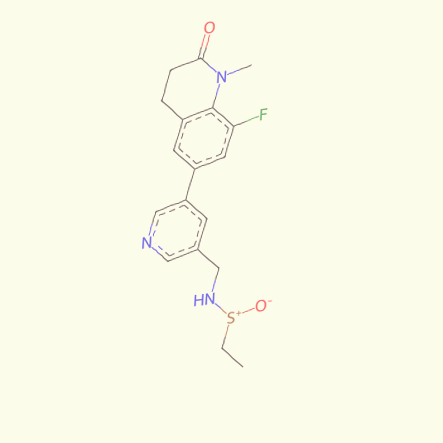 CC[S+]([O-])NCc1cncc(-c2cc(F)c3c(c2)CCC(=O)N3C)c1